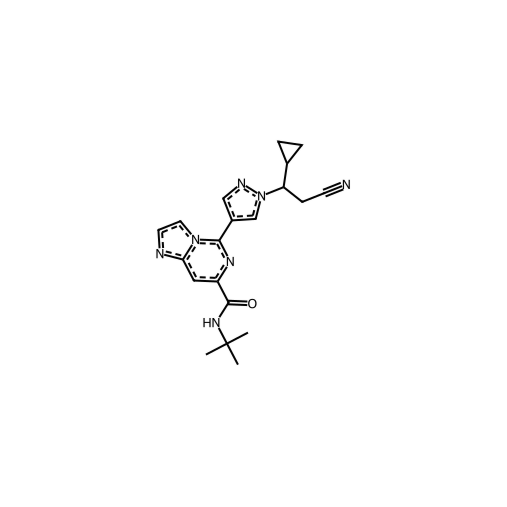 CC(C)(C)NC(=O)c1cc2nccn2c(-c2cnn(C(CC#N)C3CC3)c2)n1